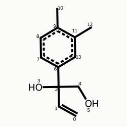 C=CC(O)(CO)c1ccc(C)c(C)c1